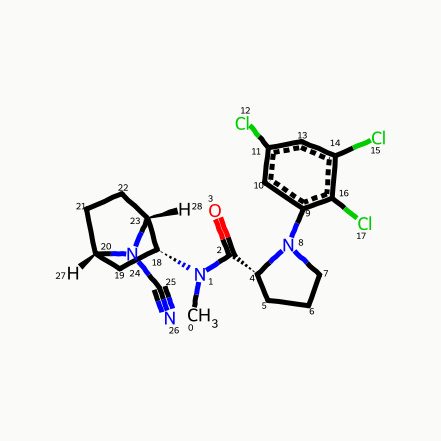 CN(C(=O)[C@H]1CCCN1c1cc(Cl)cc(Cl)c1Cl)[C@@H]1C[C@@H]2CC[C@H]1N2C#N